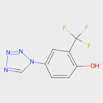 Oc1ccc(-n2cnnn2)cc1C(F)(F)F